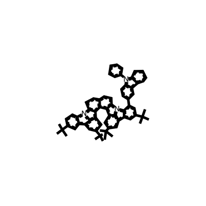 CC(C)(C)c1ccc2c(c1)c1cc(C(C)(C)C)cc3c4c5c(ccc4n2c13)ccc1c5c2cc(C(C)(C)C)cc3c4cc(C(C)(C)C)cc(-c5ccc6c(c5)c5ccccc5n6-c5ccccc5)c4n1c32